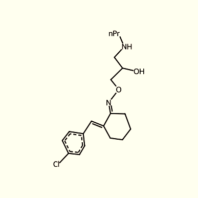 CCCNCC(O)CO/N=C1\CCCC\C1=C/c1ccc(Cl)cc1